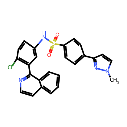 Cn1ccc(-c2ccc(S(=O)(=O)Nc3ccc(Cl)c(-c4nccc5ccccc45)c3)cc2)n1